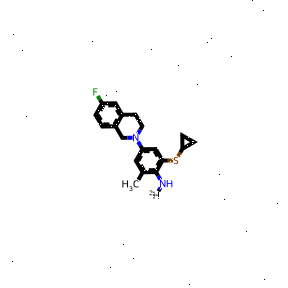 [2H]Nc1c(C)cc(N2CCc3cc(F)ccc3C2)cc1SC1CC1